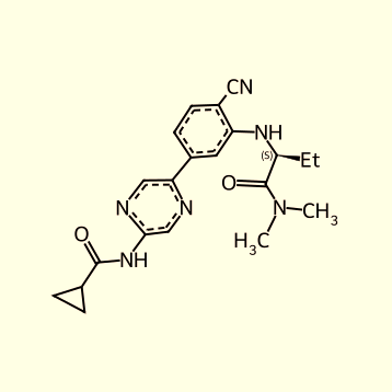 CC[C@H](Nc1cc(-c2cnc(NC(=O)C3CC3)cn2)ccc1C#N)C(=O)N(C)C